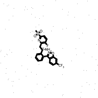 CS(=O)(=O)c1ccc(F)c(C[C@H](N)c2ccccc2-c2noc3cc(C(F)(F)F)ccc23)n1